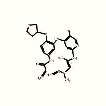 C=CC(=O)Nc1ccc(OC2CCOC2)c(Nc2nc(N/C(C)=C/N(C)N=C)ncc2Cl)c1